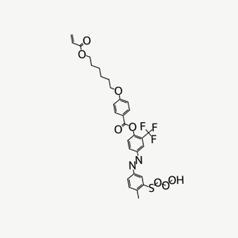 C=CC(=O)OCCCCCCOc1ccc(C(=O)Oc2ccc(/N=N/c3ccc(C)c(SOOO)c3)cc2C(F)(F)F)cc1